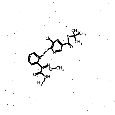 CNC(=O)C(=NOC)c1ccccc1COc1ncc(C(=O)SC(C)(C)C)cc1Cl